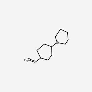 C=CC1CCC(N2CCCCC2)CC1